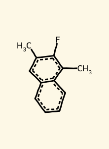 Cc1cc2ccccc2c(C)c1F